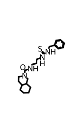 O=C(NCCCNC(=S)NCc1ccccc1)N1CCC2CCCCC2C1